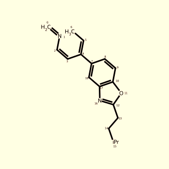 C=N/C=C\C(=C/C)c1ccc2oc(CCC(C)C)nc2c1